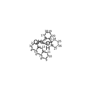 Cc1cccc2cc3ccccc3cc12.O=Cc1ccccc1C1(O)CCCCC1